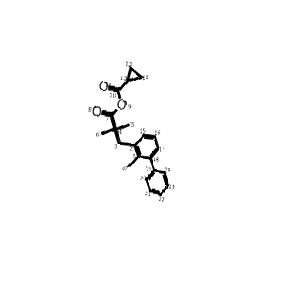 Cc1c(CC(C)(C)C(=O)OC(=O)C2CC2)cccc1-c1ccccc1